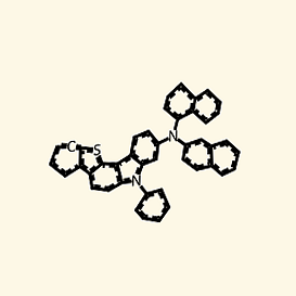 c1ccc(-n2c3cc(N(c4ccc5ccccc5c4)c4cccc5ccccc45)ccc3c3c4sc5ccccc5c4ccc32)cc1